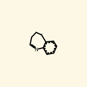 [C]1CCC=Nc2ccccc21